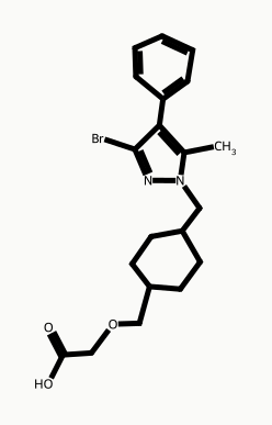 Cc1c(-c2ccccc2)c(Br)nn1CC1CCC(COCC(=O)O)CC1